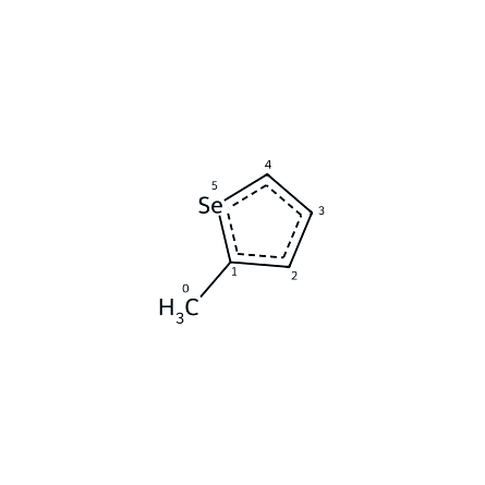 Cc1ccc[se]1